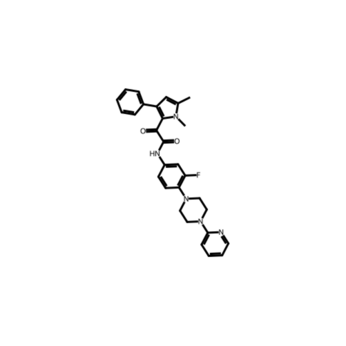 Cc1cc(-c2ccccc2)c(C(=O)C(=O)Nc2ccc(N3CCN(c4ccccn4)CC3)c(F)c2)n1C